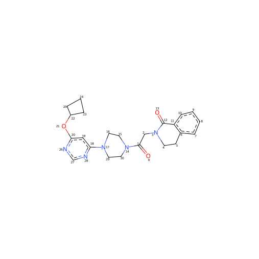 O=C(CN1CCc2ccccc2C1=O)N1CCN(c2cc(OC3CCC3)ncn2)CC1